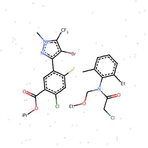 CC(C)OC(=O)c1cc(-c2nn(C)c(C(F)(F)F)c2Br)c(F)cc1Cl.CCOCN(C(=O)CCl)c1c(C)cccc1CC